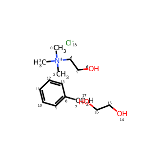 C[N+](C)(C)CCO.O=C(O)c1ccccc1.OCCO.[Cl-]